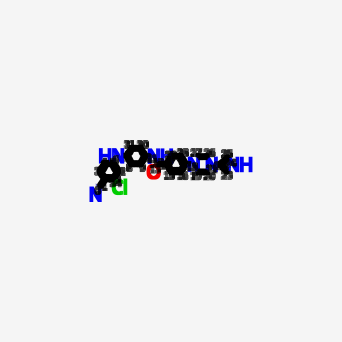 N#Cc1ccc(N[C@H]2CC[C@H](NC(=O)c3ccc(N4CCN(C5CNC5)CC4)cc3)CC2)cc1Cl